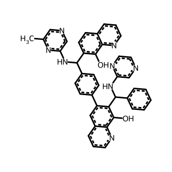 Cc1cncc(NC(c2ccc(-c3cc4cccnc4c(O)c3C(Nc3cnccn3)c3ccccc3)cc2)c2ccc3cccnc3c2O)n1